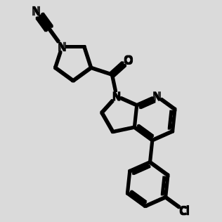 N#CN1CCC(C(=O)N2CCc3c(-c4cccc(Cl)c4)ccnc32)C1